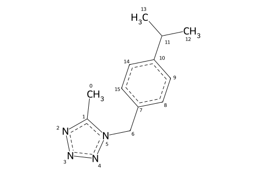 Cc1nnnn1Cc1ccc(C(C)C)cc1